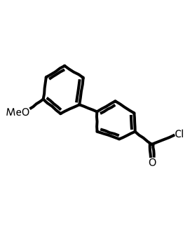 COc1cccc(-c2ccc(C(=O)Cl)cc2)c1